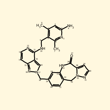 Cc1cc(N)nc(C)c1CNc1nccc2nn(Cc3ccc4c(c3)NC(=O)c3ccnn3C4)cc12